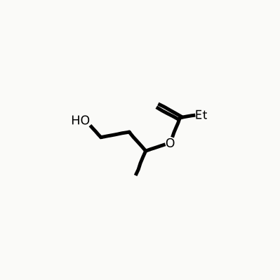 C=C(CC)OC(C)CCO